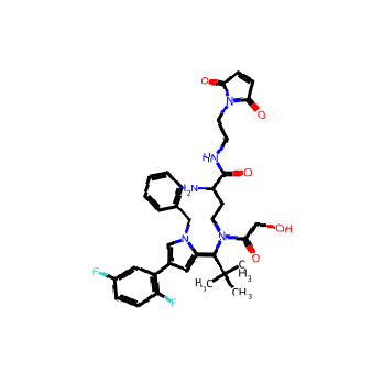 CC(C)(C)C(c1cc(-c2cc(F)ccc2F)cn1Cc1ccccc1)N(CCC(N)C(=O)NCCN1C(=O)C=CC1=O)C(=O)CO